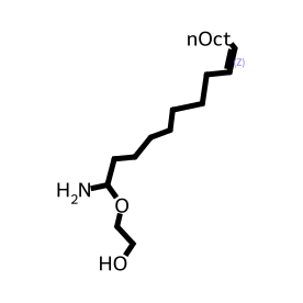 CCCCCCCC/C=C\CCCCCCCC(N)OCCO